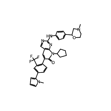 CN1CCOC(c2ccc(Nc3ncc4cc(-c5ccc(-c6cccn6C)cc5C(F)(F)F)c(=O)n(C5CCCC5)c4n3)cc2)C1